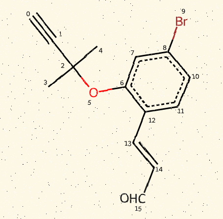 C#CC(C)(C)Oc1cc(Br)ccc1C=CC=O